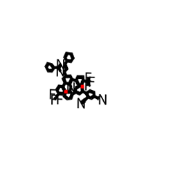 N#Cc1ccc(-c2ccc3c(c2)c2ccccc2n3-c2c(-c3ccc(C(F)(F)F)cc3)cc(-c3cc(-c4ccccc4)nc(-c4ccccc4)n3)cc2-c2ccc(C(F)(F)F)cc2)c(C#N)c1